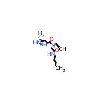 C#CCN(CC(=O)NCCCCC)C(=O)CCC1(C)NN1